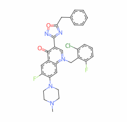 CN1CCN(c2cc3c(cc2F)c(=O)c(-c2noc(Cc4ccccc4)n2)cn3Cc2c(F)cccc2Cl)CC1